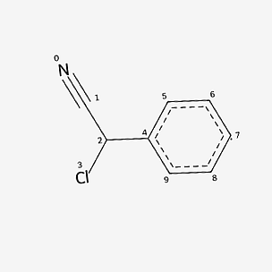 N#CC(Cl)c1cc[c]cc1